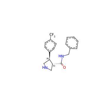 O=C(NCc1ccccc1)[C@@H]1CNC[C@H]1c1ccc(C(F)(F)F)cc1